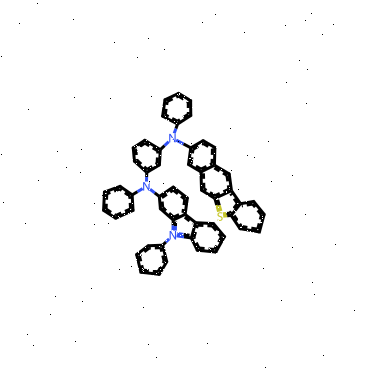 c1ccc(N(c2cccc(N(c3ccccc3)c3ccc4c5ccccc5n(-c5ccccc5)c4c3)c2)c2ccc3cc4c(cc3c2)sc2ccccc24)cc1